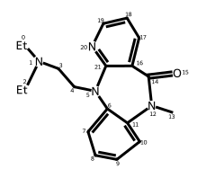 CCN(CC)CCN1c2ccccc2N(C)C(=O)c2cccnc21